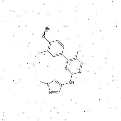 CC[C@H](C)Oc1ccc(-c2nc(Nc3cnn(C)c3)ncc2C)cc1F